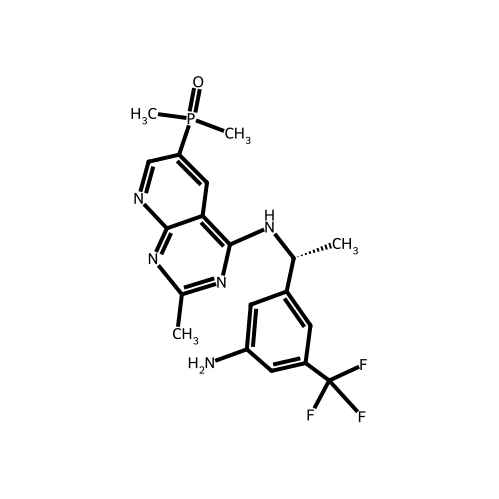 Cc1nc(N[C@H](C)c2cc(N)cc(C(F)(F)F)c2)c2cc(P(C)(C)=O)cnc2n1